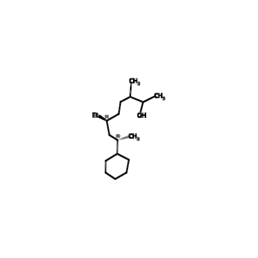 CC[C@@H](CCC(C)C(C)O)C[C@H](C)C1CCCCC1